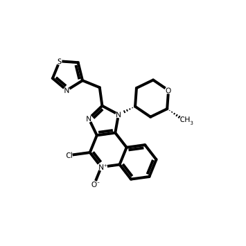 C[C@@H]1C[C@H](n2c(Cc3cscn3)nc3c(Cl)[n+]([O-])c4ccccc4c32)CCO1